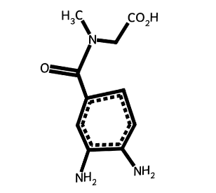 CN(CC(=O)O)C(=O)c1ccc(N)c(N)c1